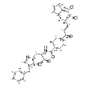 O=C(NC(Cc1cn(Cc2ccccc2)cn1)C(=O)O)C1CCN(C(=O)C=Cc2cc3ccsc3c(Cl)c2Cl)CC1